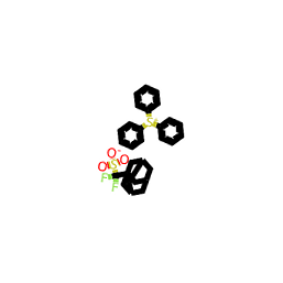 O=S(=O)([O-])C(F)(F)C12CC3CC(CC(C3)C1)C2.c1ccc([S+](c2ccccc2)c2ccccc2)cc1